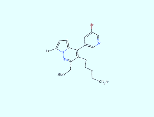 CCOC(=O)CCCCc1c(COCC(C)C)nn2c(CC)ccc2c1-c1cncc(Br)c1